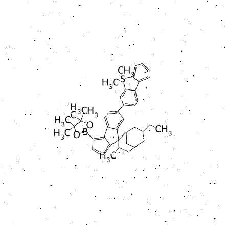 CCC1CC2CC(C)C3(c4cc(-c5ccc6c(c5)S(C)(C)c5ccccc5-6)ccc4-c4c(B5OC(C)(C)C(C)(C)O5)cccc43)C(C1)C2